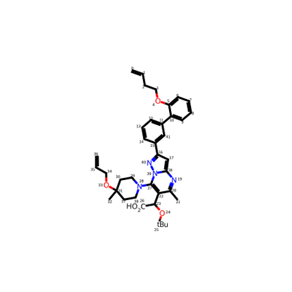 C=CCCOc1ccccc1-c1cccc(-c2cc3nc(C)c(C(OC(C)(C)C)C(=O)O)c(N4CCC(C)(OCC=C)CC4)n3n2)c1